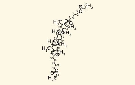 C=CC(=O)OCCCCCC(=O)Oc1c(C)cc(C(C)(C)c2ccc(C(C)(C)c3cc(C)c(OC(=O)CCCCCOC(=O)C=C)c(C)c3)cc2)cc1C